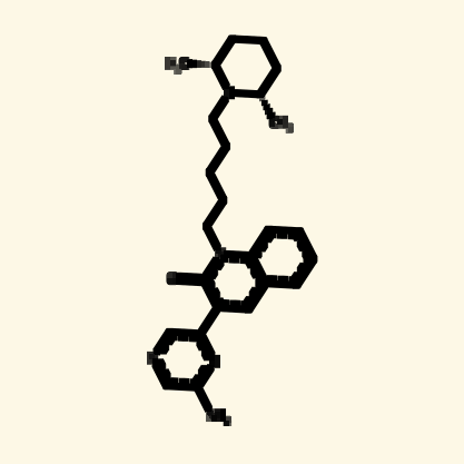 C[C@@H]1CCC[C@H](C)N1CCCCCn1c(=O)c(-c2cncc(N)n2)cc2ccccc21